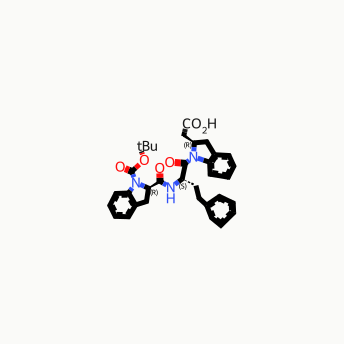 CC(C)(C)OC(=O)N1c2ccccc2C[C@@H]1C(=O)N[C@@H](CCc1ccccc1)C(=O)N1c2ccccc2C[C@@H]1CC(=O)O